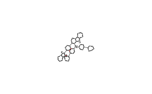 c1ccc(-c2ccc(N(c3ccc(-c4ccccc4)cc3)c3c(-c4ccc(-c5nc6ccccc6s5)cc4)ccc4c3sc3ccccc34)cc2)cc1